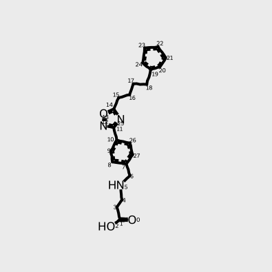 O=C(O)CCNCc1ccc(-c2noc(CCCCc3ccccc3)n2)cc1